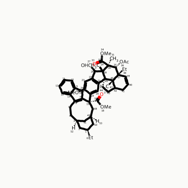 CC[C@H]1C[C@H]2CCC3=C(Cc4ccccc43)[C@@](C(=O)OC)(c3cc4c(cc3OC)C(C=O)C3(C)[C@@](C)(C(=O)OC)[C@H](OC(C)=O)[C@]5(CC)C=CCC6CC[C@]43[C@@]65C)C[C@@H](C1)C2